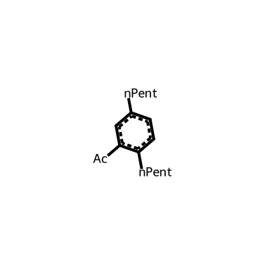 CCCCCc1ccc(CCCCC)c(C(C)=O)c1